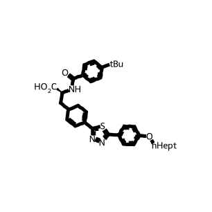 CCCCCCCOc1ccc(-c2nnc(C3=CCC(C[C@H](NC(=O)c4ccc(C(C)(C)C)cc4)C(=O)O)C=C3)s2)cc1